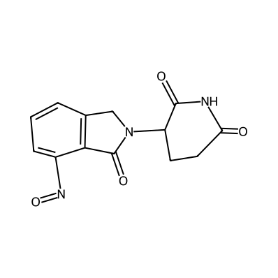 O=Nc1cccc2c1C(=O)N(C1CCC(=O)NC1=O)C2